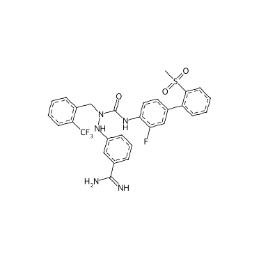 CS(=O)(=O)c1ccccc1-c1ccc(NC(=O)N(Cc2ccccc2C(F)(F)F)Nc2cccc(C(=N)N)c2)c(F)c1